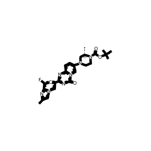 Cc1cn2cc(-c3nc(=O)n4cc(N5CCN(C(=O)OC(C)(C)C)[C@@H](C)C5)ccc4n3)cc(F)c2n1